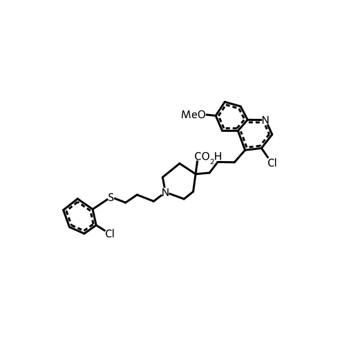 COc1ccc2ncc(Cl)c(CCCC3(C(=O)O)CCN(CCCSc4ccccc4Cl)CC3)c2c1